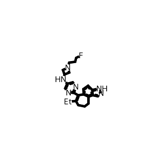 CCC1=C(c2ncc(NC3CN(CCCF)C3)cn2)c2ccc3[nH]ncc3c2CCC1